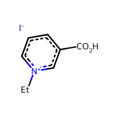 CC[n+]1cccc(C(=O)O)c1.[I-]